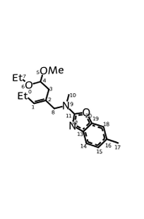 CC/C=C(\CC(OC)OCC)CN(C)c1nc2ccc(C)cc2o1